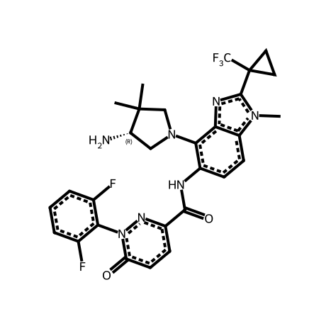 Cn1c(C2(C(F)(F)F)CC2)nc2c(N3C[C@H](N)C(C)(C)C3)c(NC(=O)c3ccc(=O)n(-c4c(F)cccc4F)n3)ccc21